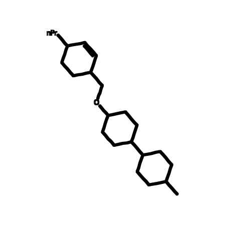 CCCC1C=CC(COC2CCC(C3CCC(C)CC3)CC2)CC1